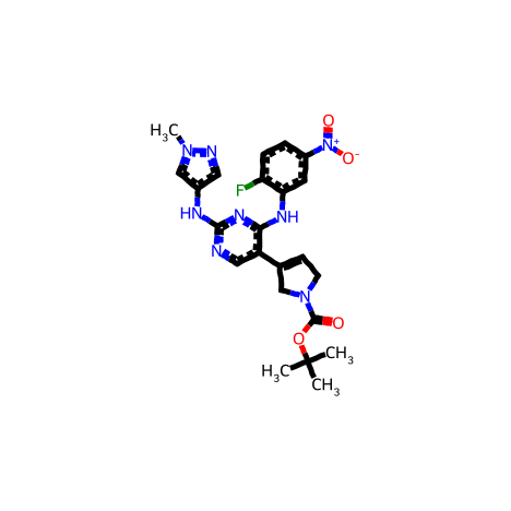 Cn1cc(Nc2ncc(C3=CCN(C(=O)OC(C)(C)C)C3)c(Nc3cc([N+](=O)[O-])ccc3F)n2)cn1